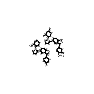 COc1ccc(-c2onc3ccc(-c4ccnn4-c4ccc(F)cc4F)cc23)cc1F.Fc1ccc(-c2onc3ccc(-c4ccnn4-c4ccccc4Cl)cc23)cc1